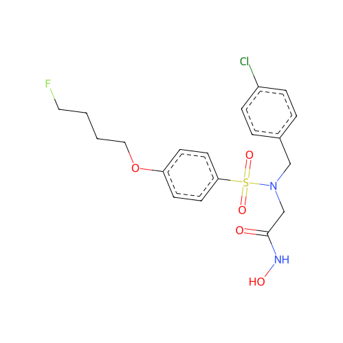 O=C(CN(Cc1ccc(Cl)cc1)S(=O)(=O)c1ccc(OCCCCF)cc1)NO